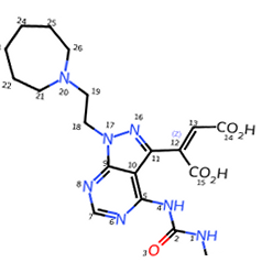 CCCNC(=O)Nc1ncnc2c1c(/C(=C/C(=O)O)C(=O)O)nn2CCN1CCCCCC1